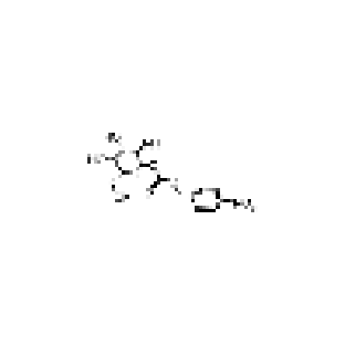 N[C@H]1C(OC(=O)OCc2ccc([N+](=O)[O-])cc2)O[C@H](CO)[C@@H](O)[C@@H]1O